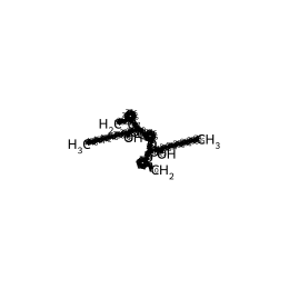 C=CCc1ccccc1OCC(COc1cccc(OCC(COc2ccccc2CC=C)OCC(O)CCCCCCCCCCCC)c1)OCC(O)CCCCCCCCCCCC